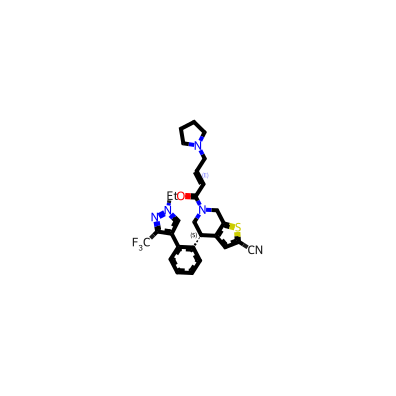 CCn1cc(-c2ccccc2[C@@H]2CN(C(=O)/C=C/CN3CCCC3)Cc3sc(C#N)cc32)c(C(F)(F)F)n1